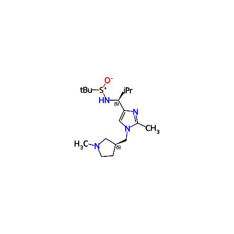 Cc1nc([C@@H](N[S+]([O-])C(C)(C)C)C(C)C)cn1C[C@H]1CCN(C)C1